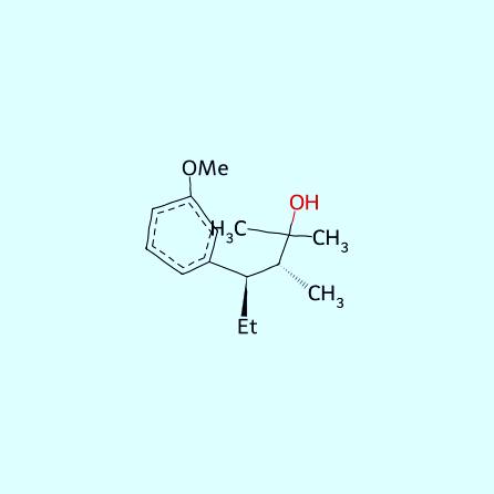 CC[C@@H](c1cccc(OC)c1)[C@@H](C)C(C)(C)O